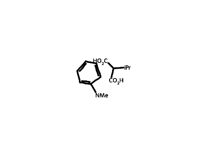 CC(C)C(C(=O)O)C(=O)O.CNc1ccccc1